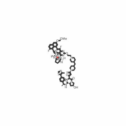 COCOc1cc(-c2ncc3c(N4C[C@H]5CC[C@@H](C4)N5C(=O)O)nc(OCCN4CCC(CC5CCN(c6cc(C(C(=O)N7C[C@H](O)C[C@H]7C(=O)N[C@@H](C)c7ccc(-c8scnc8C)cc7)C(C)C)on6)CC5)CC4)nc3c2F)c2c(C#C[Si](C(C)C)(C(C)C)C(C)C)c(F)ccc2c1